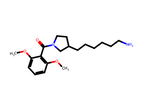 COc1cccc(OC)c1C(=O)N1CCC(CCCCCCN)C1